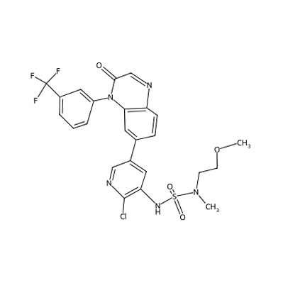 COCCN(C)S(=O)(=O)Nc1cc(-c2ccc3ncc(=O)n(-c4cccc(C(F)(F)F)c4)c3c2)cnc1Cl